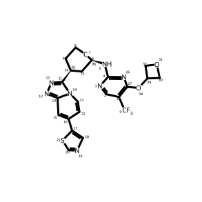 FC(F)(F)c1cnc(N[C@@H]2CCC[C@H](c3nnc4cc(-c5cncs5)ccn34)C2)nc1OC1COC1